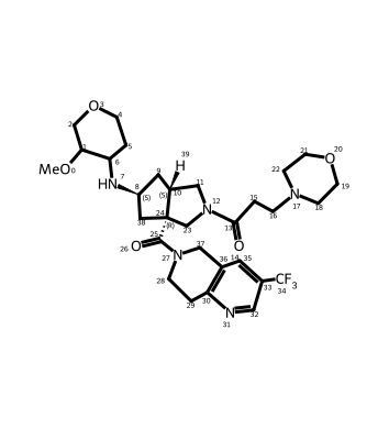 COC1COCCC1N[C@H]1C[C@@H]2CN(C(=O)CCN3CCOCC3)C[C@@]2(C(=O)N2CCc3ncc(C(F)(F)F)cc3C2)C1